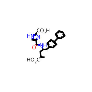 CC(CC(Cc1ccc(-c2ccccc2)cc1)NC(=O)c1c[nH]c(C(=O)O)n1)C(=O)O